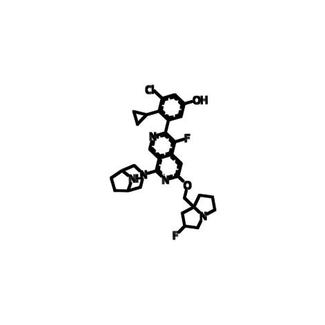 Oc1cc(Cl)c(C2CC2)c(-c2ncc3c(N4CC5CCC(C4)N5)nc(OCC45CCCN4CC(F)C5)cc3c2F)c1